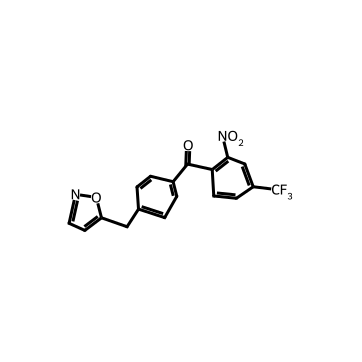 O=C(c1ccc(Cc2ccno2)cc1)c1ccc(C(F)(F)F)cc1[N+](=O)[O-]